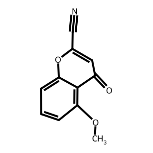 COc1cccc2oc(C#N)cc(=O)c12